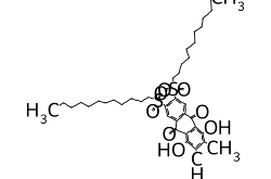 CCCCCCCCCCCCS(=O)(=O)c1cc2c(cc1S(=O)(=O)CCCCCCCCCCCC)C(=O)c1c(O)c(C)c(C)c(O)c1C2=O